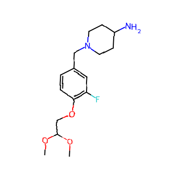 COC(COc1ccc(CN2CCC(N)CC2)cc1F)OC